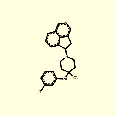 N#CC1(Nc2cccc(Cl)c2)CCN(C2Cc3cccc4cccc2c34)CC1